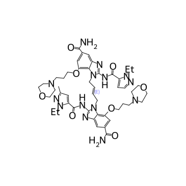 CCn1nccc1C(=O)Nc1nc2cc(C(N)=O)cc(OCCCN3CCOCC3)c2n1C/C=C/Cn1c(NC(=O)c2cc(C)nn2CC)nc2cc(C(N)=O)cc(OCCCN3CCOCC3)c21